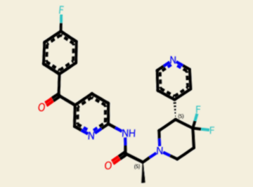 C[C@@H](C(=O)Nc1ccc(C(=O)c2ccc(F)cc2)cn1)N1CCC(F)(F)[C@@H](c2ccncc2)C1